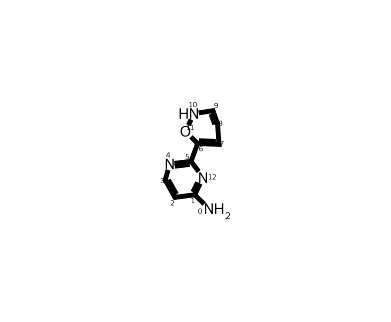 Nc1ccnc(C2=CC=CNO2)n1